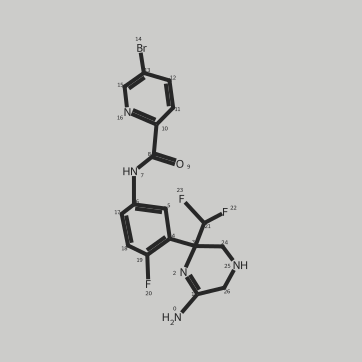 NC1=NC(c2cc(NC(=O)c3ccc(Br)cn3)ccc2F)(C(F)F)CNC1